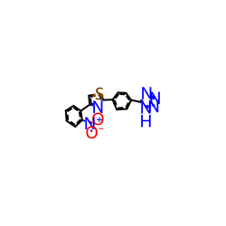 O=[N+]([O-])c1ccccc1-c1csc(-c2ccc(-c3nnn[nH]3)cc2)n1